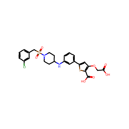 O=C(O)COc1cc(-c2cccc(NC3CCN(S(=O)(=O)Cc4cccc(Cl)c4)CC3)c2)sc1C(=O)O